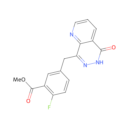 COC(=O)c1cc(Cc2n[nH]c(=O)c3cccnc23)ccc1F